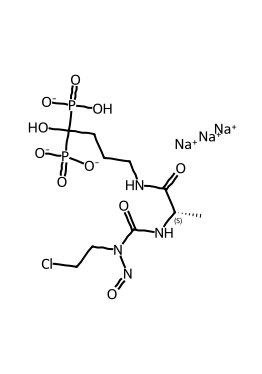 C[C@H](NC(=O)N(CCCl)N=O)C(=O)NCCCC(O)(P(=O)([O-])[O-])P(=O)([O-])O.[Na+].[Na+].[Na+]